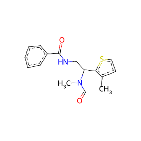 Cc1ccsc1C(CNC(=O)c1ccccc1)N(C)C=O